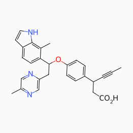 CC#CC(CC(=O)O)c1ccc(OC(Cc2cnc(C)cn2)c2ccc3cc[nH]c3c2C)cc1